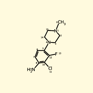 CN1CCN(c2ccc(N)c(Cl)c2F)CC1